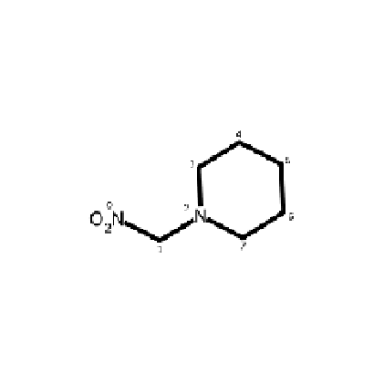 O=[N+]([O-])CN1CCCCC1